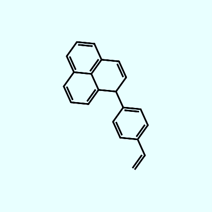 C=Cc1ccc(C2C=Cc3cccc4cccc2c34)cc1